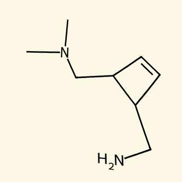 CN(C)CC1C=CC1CN